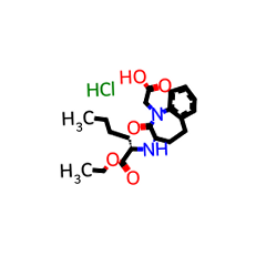 CCCC[C@H](N[C@H]1CCc2ccccc2N(CC(=O)O)C1=O)C(=O)OCC.Cl